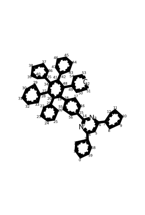 c1ccc(-c2cc(-c3ccccc3)nc(-c3ccc(-c4c(-c5ccccc5)c(-c5ccccc5)c(-c5ccccc5)c(-c5ccccc5)c4-c4ccccc4)cc3)n2)cc1